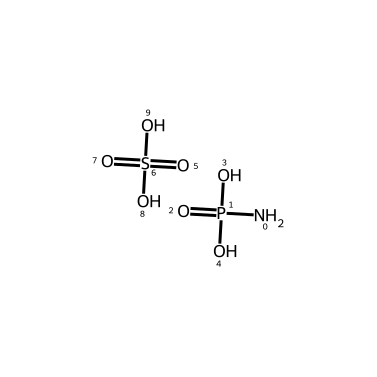 NP(=O)(O)O.O=S(=O)(O)O